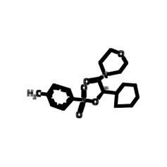 Cc1ccc(S(=O)(=O)O[C@@H](C(=O)N2CCOCC2)C2CCCCC2)cc1